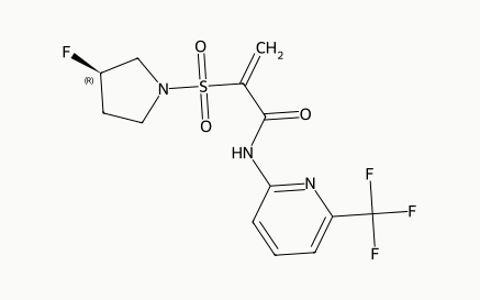 C=C(C(=O)Nc1cccc(C(F)(F)F)n1)S(=O)(=O)N1CC[C@@H](F)C1